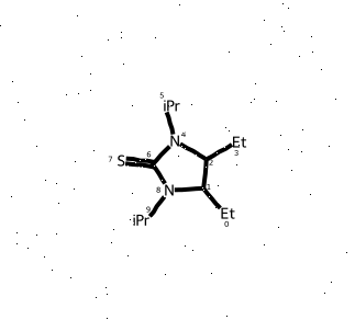 CCC1C(CC)N(C(C)C)C(=S)N1C(C)C